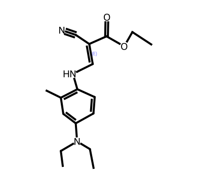 CCOC(=O)/C(C#N)=C/Nc1ccc(N(CC)CC)cc1C